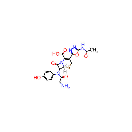 CC(=O)Nc1nnc(C2=C(C(=O)O)N3C(=O)C(N(C(=O)CN)c4ccc(O)cc4)[C@@H]3SC2)o1